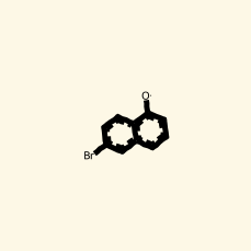 [O]c1cccc2cc(Br)ccc12